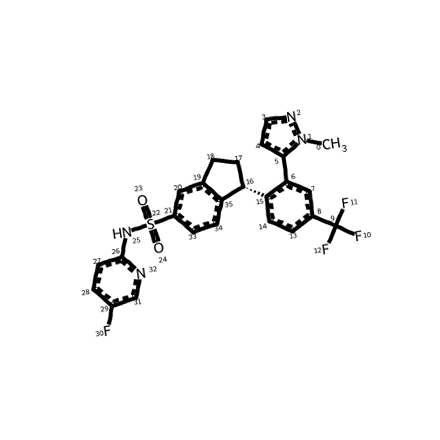 Cn1nccc1-c1cc(C(F)(F)F)ccc1[C@H]1CCc2cc(S(=O)(=O)Nc3ccc(F)cn3)ccc21